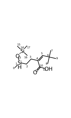 C[SiH](CCC(=CC(C)(C)C)C(=O)O)O[Si](C)(C)C